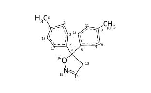 Cc1ccc(C2(c3ccc(C)cc3)CC=NO2)cc1